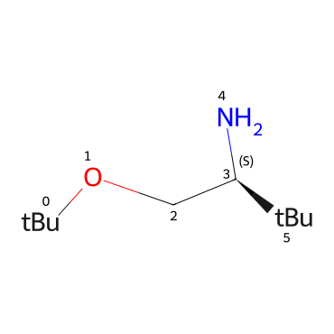 CC(C)(C)OC[C@@H](N)C(C)(C)C